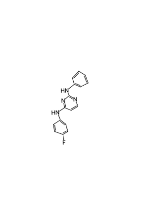 Fc1ccc(Nc2ccnc(Nc3ccccc3)n2)cc1